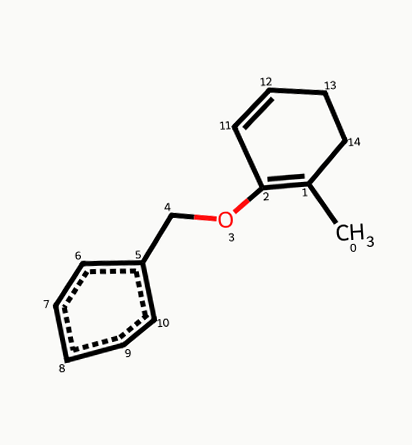 CC1=C(OCc2ccccc2)C=CCC1